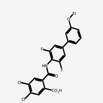 CCOc1cccc(-c2cc(F)c(NC(=O)c3cc(Cl)c(Cl)cc3C(=O)O)c(F)c2)c1